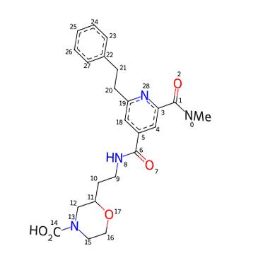 CNC(=O)c1cc(C(=O)NCCC2CN(C(=O)O)CCO2)cc(CCc2ccccc2)n1